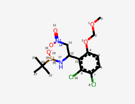 COCOc1ccc(Cl)c(Cl)c1C(C[N+](=O)[O-])N[S@@+]([O-])C(C)(C)C